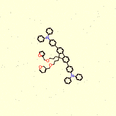 C1=COCC(COCCCC2(CCCOCc3ccco3)c3cc(-c4ccc(N(c5ccccc5)c5ccccc5)cc4)ccc3-c3ccc(-c4ccc(N(c5ccccc5)c5ccccc5)cc4)cc32)=C1